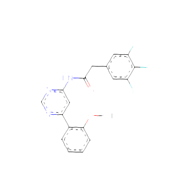 COc1ccccc1-c1cc(NC(=O)Cc2cc(F)c(F)c(F)c2)ncn1